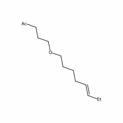 CCC=CCCCCOCCCC(C)=O